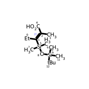 CC/C(=C(/C)C(=O)O)[Si](C)(C)O[Si](C)(C)C(C)(C)C